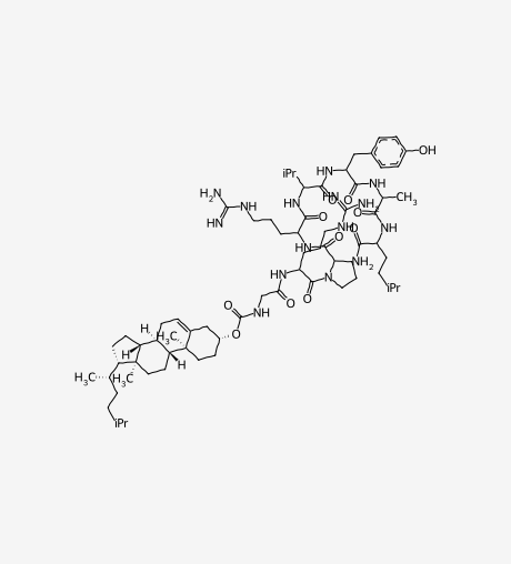 CC(C)CCC(NC(=O)C(C)NC(=O)C(Cc1ccc(O)cc1)NC(=O)C(NC(=O)C(CCCNC(=N)N)NC(=O)C1CCCN1C(=O)C(CCCNC(=N)N)NC(=O)CNC(=O)O[C@@H]1CC[C@]2(C)C(=CC[C@@H]3[C@H]4CC[C@@H]([C@@H](C)CCC(C)C)[C@]4(C)CC[C@H]32)C1)C(C)C)C(N)=O